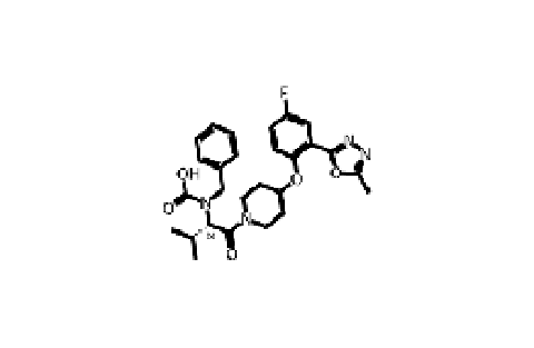 Cc1nnc(-c2cc(F)ccc2OC2CCN(C(=O)[C@H](C(C)C)N(Cc3ccccc3)C(=O)O)CC2)o1